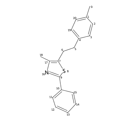 Cc1ccc(CCc2sc(-c3ccccc3)nc2C)cc1